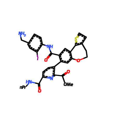 CCCNC(=O)c1ccc(-c2cc3c(cc2C(=O)Nc2ccc(CN)cc2I)-c2sccc2CCO3)c(C(=O)OC)n1